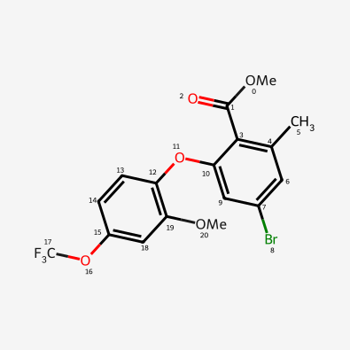 COC(=O)c1c(C)cc(Br)cc1Oc1ccc(OC(F)(F)F)cc1OC